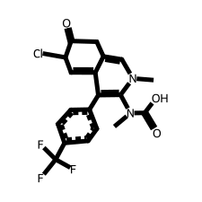 CN1C=C2CC(=O)C(Cl)C=C2C(c2ccc(C(F)(F)F)cc2)=C1N(C)C(=O)O